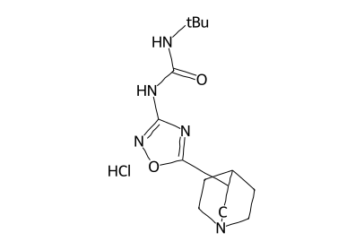 CC(C)(C)NC(=O)Nc1noc(C2CN3CCC2CC3)n1.Cl